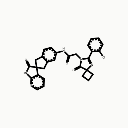 O=C(CN1C(=O)C2(CCC2)N=C1c1ccccc1Cl)Nc1ccc2c(c1)CC1(C2)C(=O)Nc2ncccc21